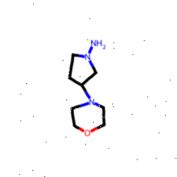 NN1CCC(N2CCOCC2)C1